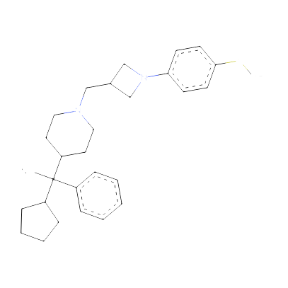 N#CC(c1ccccc1)(C1CCCC1)C1CCN(CC2CN(c3ccc(SC(F)(F)F)cc3)C2)CC1